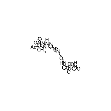 CC(=O)c1c(C)c2cnc(Nc3ccc(N4CCN(CCCOCCNc5cccc6c5C(O)N(C5CCC(=O)NC5=O)C6=O)CC4)cn3)nc2n(C2CCCC2)c1=O